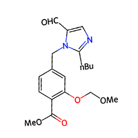 CCCCc1ncc(C=O)n1Cc1ccc(C(=O)OC)c(OCOC)c1